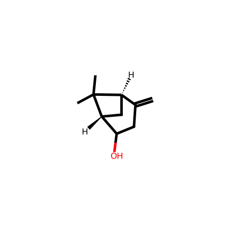 C=C1CC(O)[C@H]2C[C@H]1C2(C)C